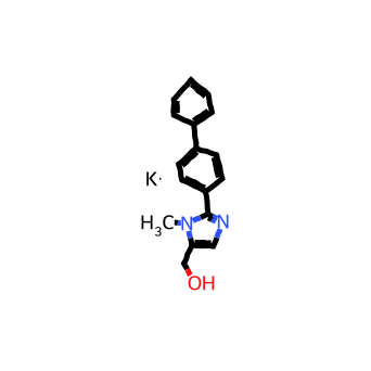 Cn1c(CO)cnc1-c1ccc(-c2ccccc2)cc1.[K]